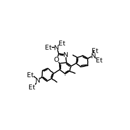 CCN(CC)c1ccc(-c2c(C)[c]c(-c3ccc(N(CC)CC)cc3C)c3oc(N(CC)CC)nc23)c(C)c1